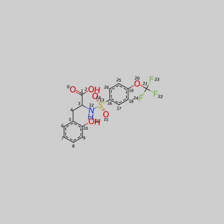 O=C(O)C(Cc1ccccc1O)NS(=O)(=O)c1ccc(OC(F)(F)F)cc1